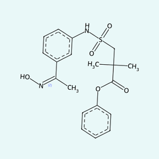 C/C(=N/O)c1cccc(NS(=O)(=O)CC(C)(C)C(=O)Oc2ccccc2)c1